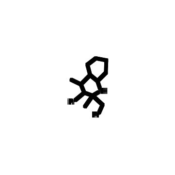 CC(C)CC1(C)NC2CCCCC2C(C)C1C(C)C